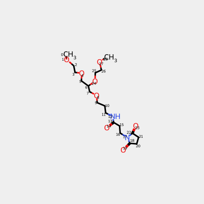 COCCOCC(COCCCNC(=O)CCN1C(=O)CCC1=O)OCCOC